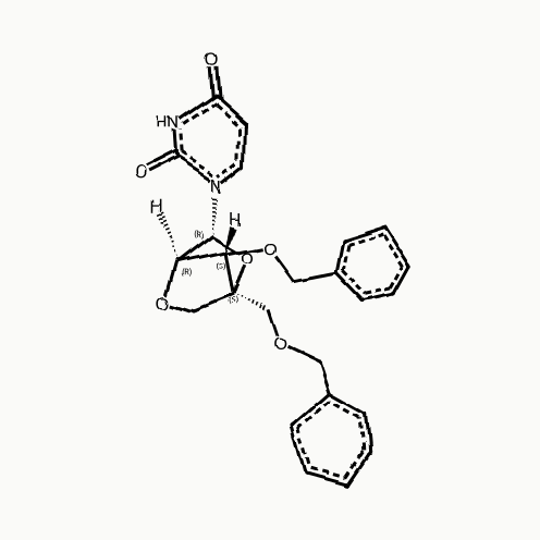 O=c1ccn([C@@H]2O[C@@]3(COCc4ccccc4)CO[C@@H]2[C@@H]3OCc2ccccc2)c(=O)[nH]1